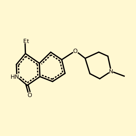 CCc1c[nH]c(=O)c2ccc(OC3CCN(C)CC3)cc12